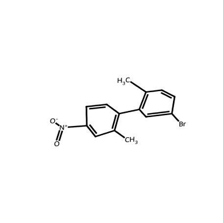 Cc1cc([N+](=O)[O-])ccc1-c1cc(Br)ccc1C